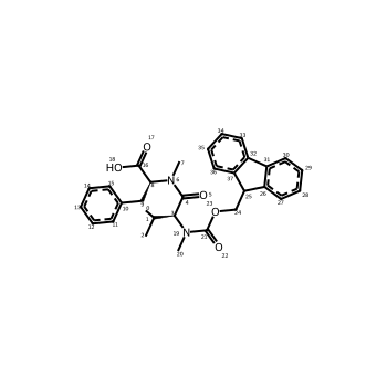 CC(C)[C@@H](C(=O)N(C)[C@@H](Cc1ccccc1)C(=O)O)N(C)C(=O)OCC1c2ccccc2-c2ccccc21